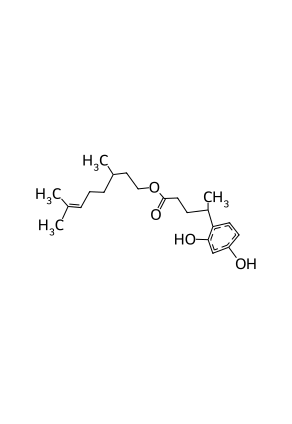 CC(C)=CCCC(C)CCOC(=O)CCC(C)c1ccc(O)cc1O